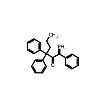 CCCC(C(=O)C(=[PH3])c1ccccc1)(c1ccccc1)c1ccccc1